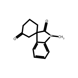 CN1C(=O)C2(CCCC(=O)C2)c2ccccc21